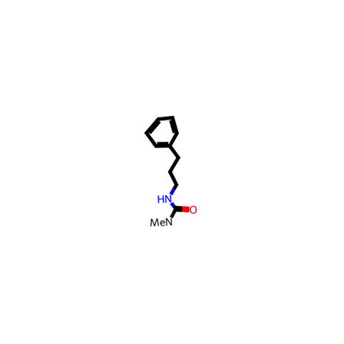 CNC(=O)NCCCc1ccccc1